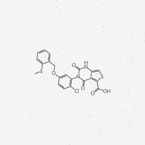 CSc1ccccc1COc1ccc(Cl)c(-n2c(=O)[nH]c3csc(C(=O)O)c3c2=O)c1